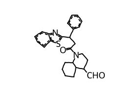 O=CC1CCN(C(=O)CC(c2ccccc2)c2nc3ccccc3s2)C2CCCCC12